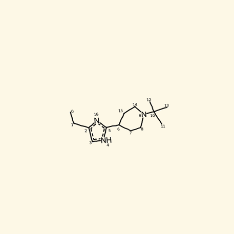 CCc1c[nH]c(C2CCN(C(C)(C)C)CC2)n1